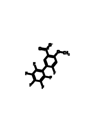 COc1cc(F)c(-c2c(F)c(F)c(F)c(F)c2F)cc1[N+](=O)[O-]